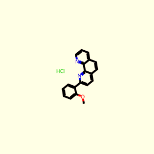 COc1ccccc1-c1ccc2ccc3cccnc3c2n1.Cl